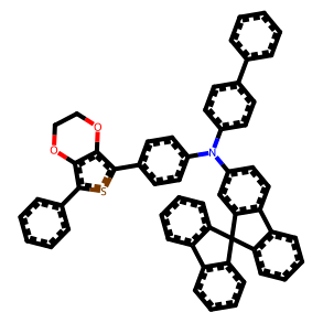 c1ccc(-c2ccc(N(c3ccc(-c4sc(-c5ccccc5)c5c4OCCO5)cc3)c3ccc4c(c3)C3(c5ccccc5-c5ccccc53)c3ccccc3-4)cc2)cc1